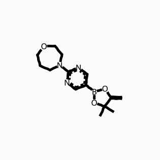 C=C1OB(c2cnc(N3CCCOCC3)nc2)OC1(C)C